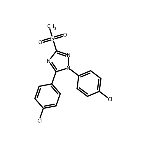 CS(=O)(=O)c1nc(-c2ccc(Cl)cc2)n(-c2ccc(Cl)cc2)n1